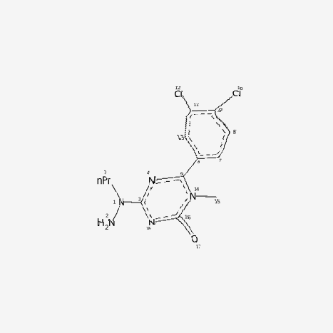 CCCN(N)c1nc(-c2ccc(Cl)c(Cl)c2)n(C)c(=O)n1